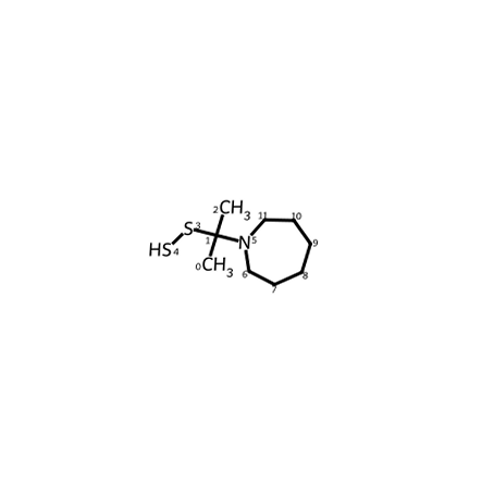 CC(C)(SS)N1CCCCCC1